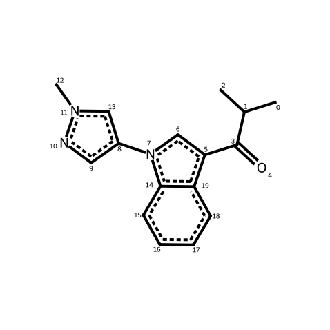 CC(C)C(=O)c1cn(-c2cnn(C)c2)c2ccccc12